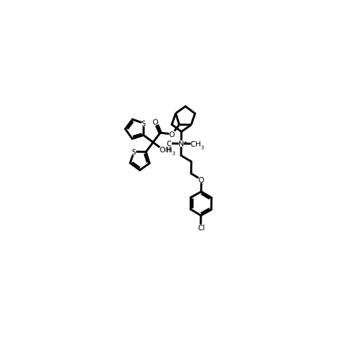 C[N+](C)(CCCOc1ccc(Cl)cc1)C1CC2CCC1C2OC(=O)C(O)(c1cccs1)c1cccs1